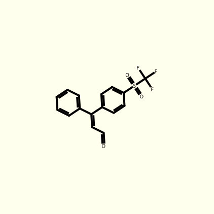 O=CC=C(c1ccccc1)c1ccc(S(=O)(=O)C(F)(F)F)cc1